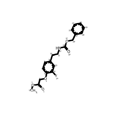 COC(=O)COc1ccc(CCNC(=O)OCc2ccccc2)cc1F